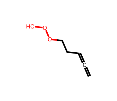 C=C=CCCOOO